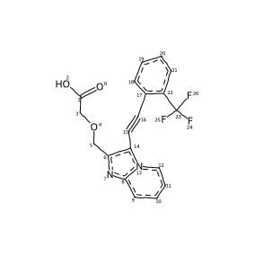 O=C(O)COCc1nc2ccccn2c1C#Cc1ccccc1C(F)(F)F